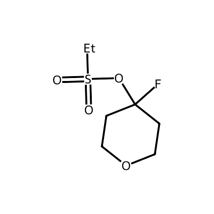 CCS(=O)(=O)OC1(F)CCOCC1